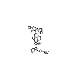 Cc1cc2c(-c3cnc([C@@H]4CCC5CC(c6c(-n7cnnn7)ccc(Cl)c6F)=CC(=O)N54)[nH]3)cn(COCC[Si](C)(C)C)c2cn1